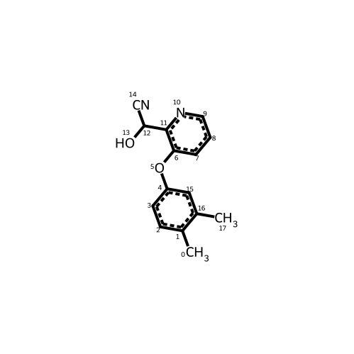 Cc1ccc(Oc2cccnc2C(O)C#N)cc1C